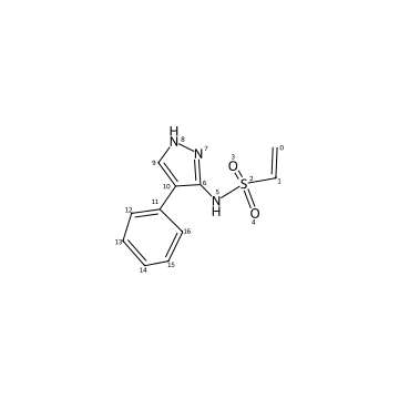 C=CS(=O)(=O)Nc1n[nH]cc1-c1ccccc1